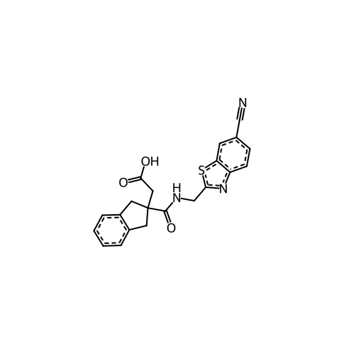 N#Cc1ccc2nc(CNC(=O)C3(CC(=O)O)Cc4ccccc4C3)sc2c1